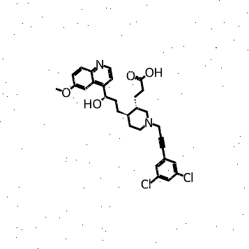 COc1ccc2nccc([C@H](O)CC[C@@H]3CCN(CC#Cc4cc(Cl)cc(Cl)c4)C[C@H]3CCC(=O)O)c2c1